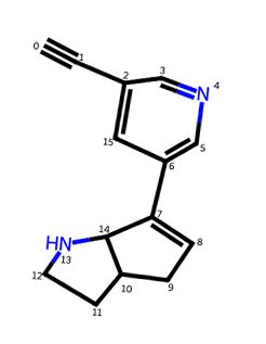 C#Cc1cncc(C2=CCC3CCNC23)c1